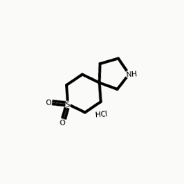 Cl.O=S1(=O)CCC2(CCNC2)CC1